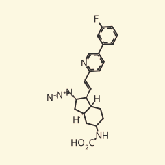 [N-]=[N+]=N[C@@H]1C[C@@H]2CC(NC(=O)O)CC[C@H]2[C@@H]1C=Cc1ccc(-c2cccc(F)c2)cn1